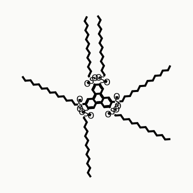 CCCCCCCCCCCCCCS(=O)(=O)c1cc2c3cc(S(=O)(=O)CCCCCCCCCCCCCC)c(S(=O)(=O)CCCCCCCCCCCCCC)cc3c3cc(S(=O)(=O)CCCCCCCCCCCCCC)c(S(=O)(=O)CCCCCCCCCCCCCC)cc3c2cc1S(=O)(=O)CCCCCCCCCCCCCC